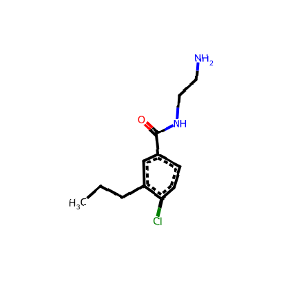 CCCc1cc(C(=O)NCCN)ccc1Cl